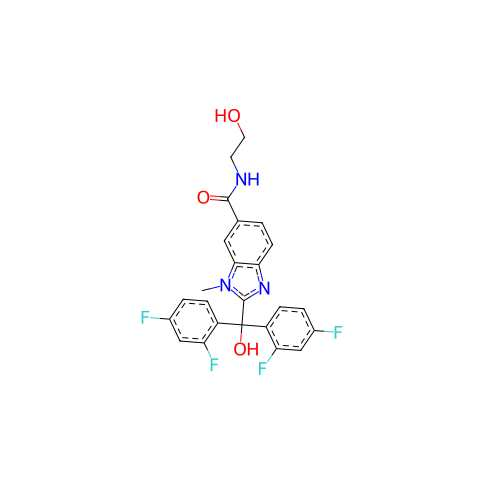 Cn1c(C(O)(c2ccc(F)cc2F)c2ccc(F)cc2F)nc2ccc(C(=O)NCCO)cc21